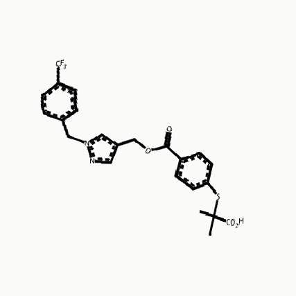 CC(C)(Sc1ccc(C(=O)OCc2cnn(Cc3ccc(C(F)(F)F)cc3)c2)cc1)C(=O)O